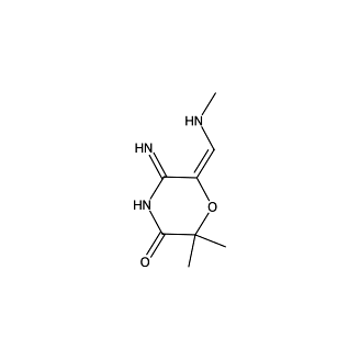 CN/C=C1/OC(C)(C)C(=O)NC1=N